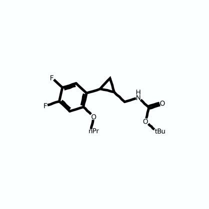 CCCOc1cc(F)c(F)cc1C1CC1CNC(=O)OC(C)(C)C